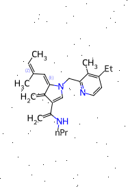 C=C(NCCC)c1cn(Cc2nccc(CC)c2C)/c(=C/C(C)=C\C)c1=C